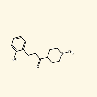 CN1CCC(C(=O)CCc2ccccc2O)CC1